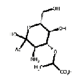 CC(=O)C1(O)O[C@H](CO)[C@@H](O)[C@H](OC(C)C(=O)O)[C@H]1N